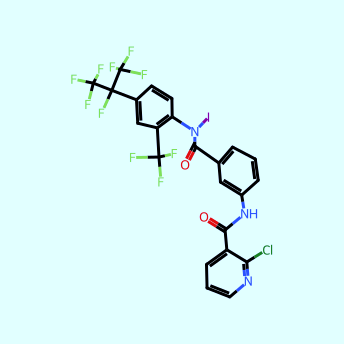 O=C(Nc1cccc(C(=O)N(I)c2ccc(C(F)(C(F)(F)F)C(F)(F)F)cc2C(F)(F)F)c1)c1cccnc1Cl